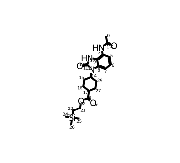 CC(=O)Nc1cccc2c1[nH]c(=O)n2C1CCC(C(=O)OCC[Si](C)(C)C)CC1